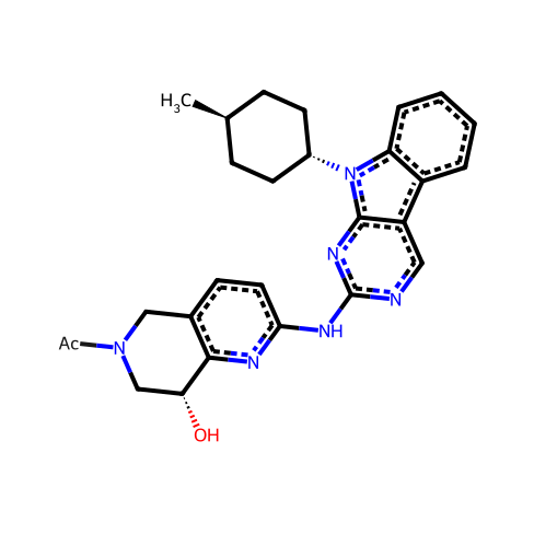 CC(=O)N1Cc2ccc(Nc3ncc4c5ccccc5n([C@H]5CC[C@H](C)CC5)c4n3)nc2[C@H](O)C1